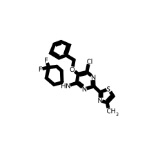 Cc1csc(-c2nc(Cl)c(OCc3ccccc3)c(NC3CCC(F)(F)CC3)n2)n1